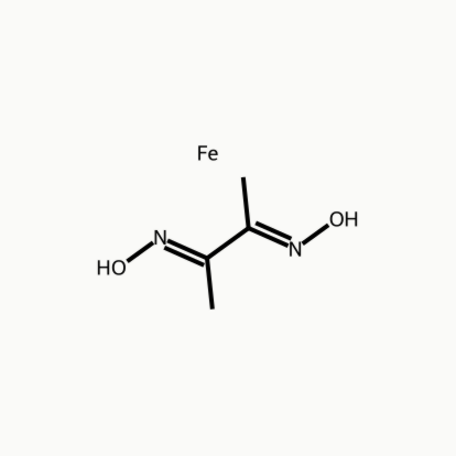 CC(=N\O)/C(C)=N/O.[Fe]